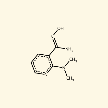 CN(C)c1ncccc1/C(N)=N/O